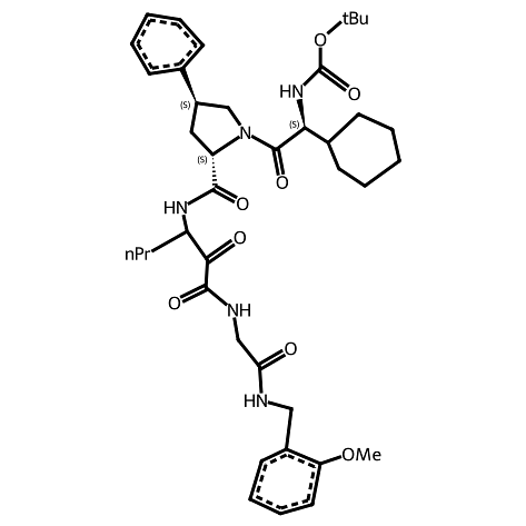 CCCC(NC(=O)[C@@H]1C[C@@H](c2ccccc2)CN1C(=O)[C@@H](NC(=O)OC(C)(C)C)C1CCCCC1)C(=O)C(=O)NCC(=O)NCc1ccccc1OC